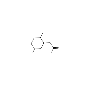 CC1CCC(C(C)C)C(CC(=O)Cl)C1